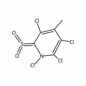 Cc1c(Cl)c(Cl)n(Cl)c(=S(=O)=O)c1Cl